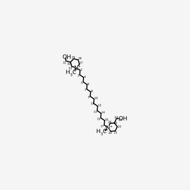 C[N+]1(CCCCCCCCCCCCCCCC[N+]2(C)CCCC(CO)C2)CCCC(CO)C1